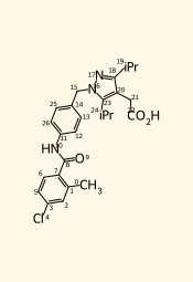 Cc1cc(Cl)ccc1C(=O)Nc1ccc(Cn2nc(C(C)C)c(CC(=O)O)c2C(C)C)cc1